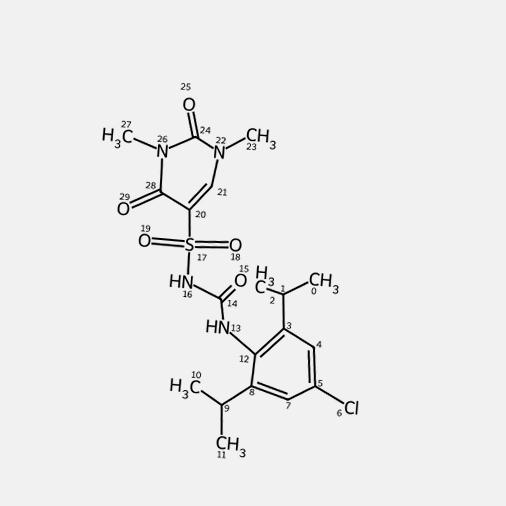 CC(C)c1cc(Cl)cc(C(C)C)c1NC(=O)NS(=O)(=O)c1cn(C)c(=O)n(C)c1=O